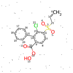 C=CCS(=O)(=O)c1ccc(C(=O)OO)c(-c2ccccc2)c1Cl